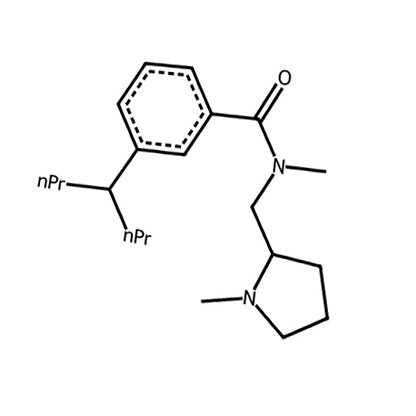 CCCC(CCC)c1cccc(C(=O)N(C)CC2CCCN2C)c1